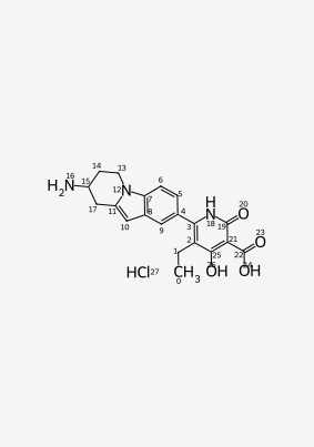 CCc1c(-c2ccc3c(c2)cc2n3CCC(N)C2)[nH]c(=O)c(C(=O)O)c1O.Cl